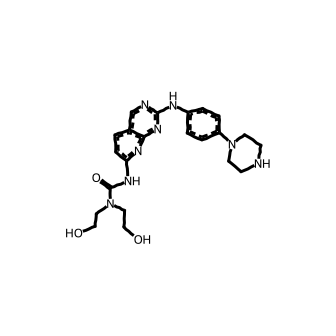 O=C(Nc1ccc2cnc(Nc3ccc(N4CCNCC4)cc3)nc2n1)N(CCO)CCO